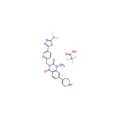 Cn1c(=O)n(Cc2ccc(-c3nnc(C(F)F)o3)cn2)c(=O)c2ccc(C3=CCNCC3)cc21.O=C(O)C(F)(F)F